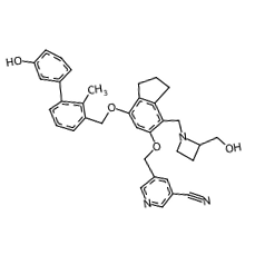 Cc1c(COc2cc(OCc3cncc(C#N)c3)c(CN3CCC3CO)c3c2CCC3)cccc1-c1cccc(O)c1